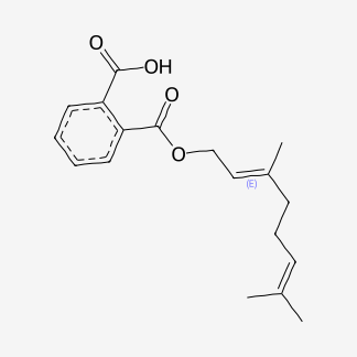 CC(C)=CCC/C(C)=C/COC(=O)c1ccccc1C(=O)O